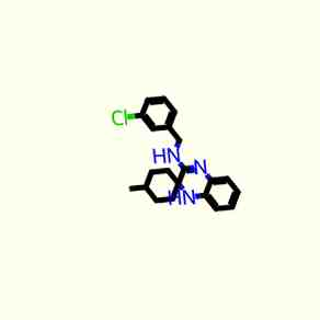 CC1CCC2(CC1)Nc1ccccc1N=C2NCc1cccc(Cl)c1